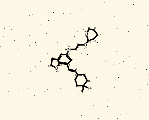 FC1(F)CCC(C=Cc2cc(NCCOC3CCCCO3)cc3c2OCC3)CC1